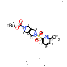 CC(C)(C)OC(=O)N1CC2=C(C1)CN(S(=O)(=O)c1cccc(C(F)(F)F)n1)C2